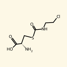 N[C@@H](CSC(=O)NCCCl)C(=O)O